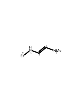 CCNC=CNC